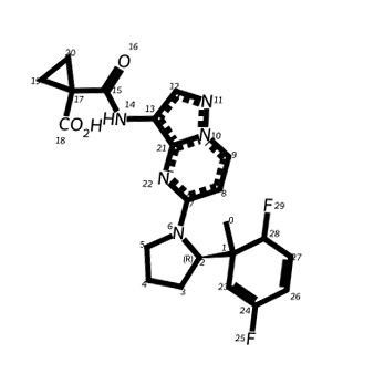 CC1([C@H]2CCCN2c2ccn3ncc(NC(=O)C4(C(=O)O)CC4)c3n2)C=C(F)C=CC1F